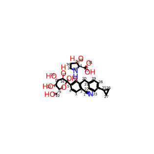 N#Cc1ccc([C@@]2(O)O[C@H](CO)[C@@H](O)[C@H](O)[C@H]2O)cc1Cc1ccc(C2CC2)cc1.O.O=C(O)[C@@H]1CCCN1